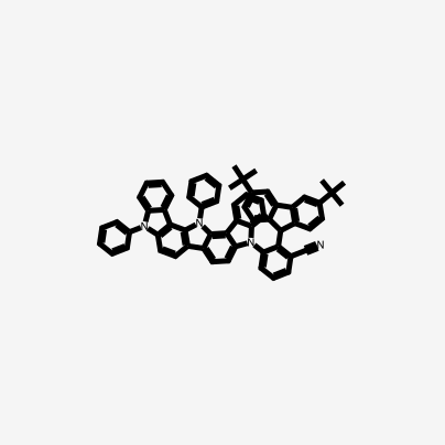 CC(C)(C)c1ccc2c(c1)-c1cc(C(C)(C)C)ccc1C2c1c(C#N)cccc1-n1c2ccccc2c2c1ccc1c3ccc4c(c5ccccc5n4-c4ccccc4)c3n(-c3ccccc3)c12